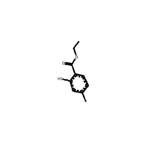 CCOC(=O)c1ccc(C)cc1S